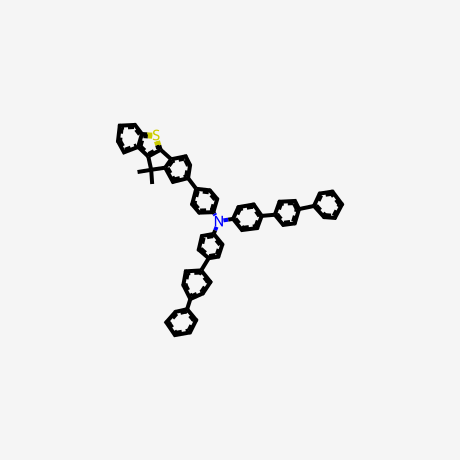 CC1(C)c2cc(-c3ccc(N(c4ccc(-c5ccc(-c6ccccc6)cc5)cc4)c4ccc(-c5ccc(-c6ccccc6)cc5)cc4)cc3)ccc2-c2sc3ccccc3c21